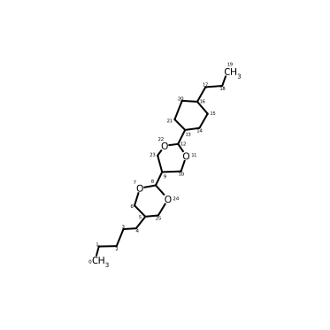 CCCCCC1COC(C2COC(C3CCC(CCC)CC3)OC2)OC1